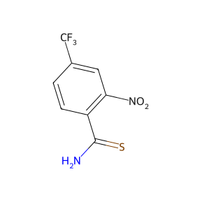 NC(=S)c1ccc(C(F)(F)F)cc1[N+](=O)[O-]